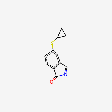 O=C1N=Cc2cc(SC3CC3)ccc21